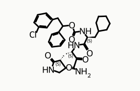 NC(=O)C(=O)[C@H](C[C@@H]1CCNC1=O)NC(=O)[C@H](CC1CCCCC1)NC(=O)OC(Cc1cccc(Cl)c1)c1ccccc1